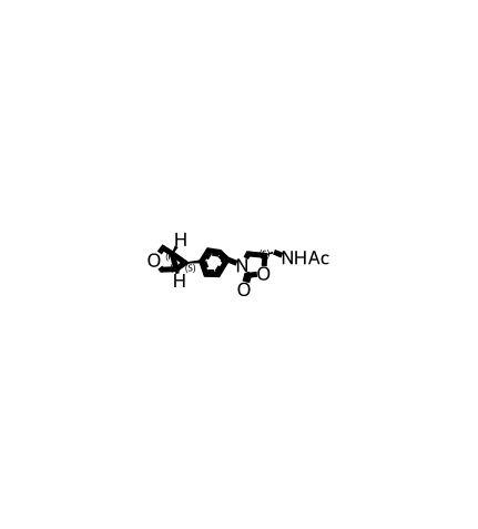 CC(=O)NC[C@H]1CN(c2ccc([C@H]3[C@@H]4COC[C@@H]43)cc2)C(=O)O1